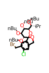 CCCCO[C@@H]1[C@@H]([C@H](OCCCC)C(C)C)O[C@]2(OCc3cc(Cl)c(CBr)cc32)[C@H](OCCCC)[C@H]1OCCCC